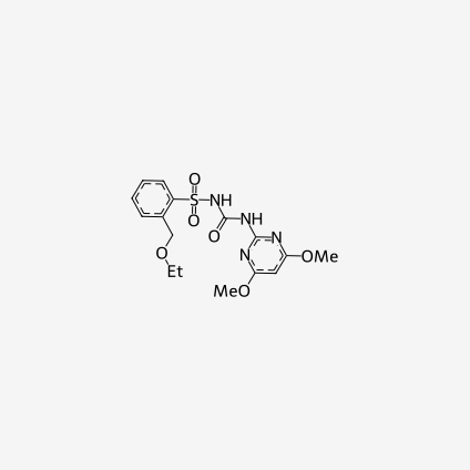 CCOCc1ccccc1S(=O)(=O)NC(=O)Nc1nc(OC)cc(OC)n1